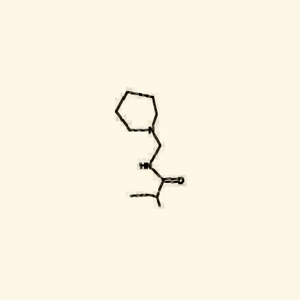 CC(C)C(=O)NCN1CCCCC1